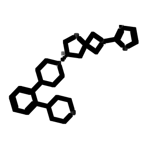 c1ccc(C2CCN([C@@H]3COC4(C3)CN(c3ncco3)C4)CC2)c(C2CCOCC2)c1